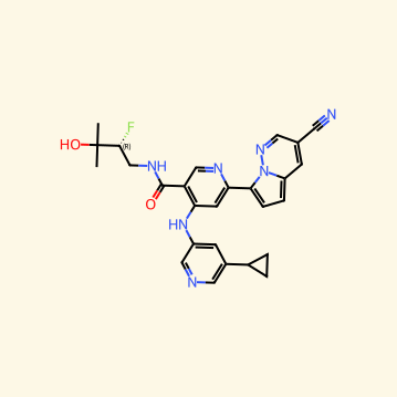 CC(C)(O)[C@H](F)CNC(=O)c1cnc(-c2ccc3cc(C#N)cnn23)cc1Nc1cncc(C2CC2)c1